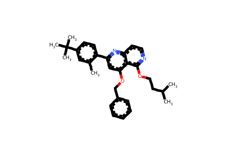 Cc1cc(C(C)(C)C)ccc1-c1cc(OCc2ccccc2)c2c(OCCC(C)C)nccc2n1